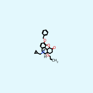 C=CCO[C@@]12CCC(=O)C3Oc4c(OCc5ccccc5)ccc5c4[C@@]31CCN(CC1CC1)[C@@H]2C5